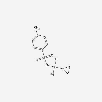 [2H]C([2H])(OS(=O)(=O)c1ccc(C)cc1)C1CC1